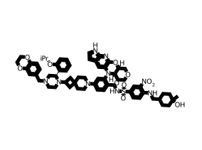 CC(C)Oc1ccccc1[C@H]1CN(Cc2ccc3c(c2)OCCO3)CCN1C1CC2(CCN(c3ccc(C(=O)NS(=O)(=O)c4ccc(NCC5CCC(C)(O)CC5)c([N+](=O)[O-])c4)c(N4c5cc6cc[nH]c6nc5O[C@H]5COCC[C@@H]54)c3)CC2)C1